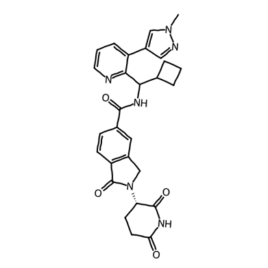 Cn1cc(-c2cccnc2C(NC(=O)c2ccc3c(c2)CN([C@H]2CCC(=O)NC2=O)C3=O)C2CCC2)cn1